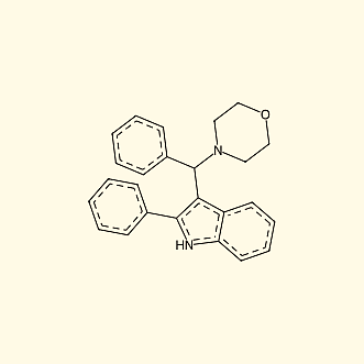 c1ccc(-c2[nH]c3ccccc3c2C(c2ccccc2)N2CCOCC2)cc1